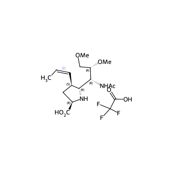 C/C=C\[C@@H]1C[C@H](C(=O)O)N[C@H]1[C@@H](NC(C)=O)[C@H](COC)OC.O=C(O)C(F)(F)F